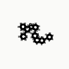 c1ccc(-c2ccc3ccc4ccc(-c5cccc6oc7c8ccccc8c(-c8ccccn8)cc7c56)nc4c3n2)cc1